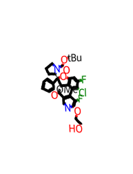 COC(=O)c1cnc(OCCO)c(F)c1-c1c(Cl)c(F)cc2c1C[C@](c1ccccc1)(C1CCCN1C(=O)OC(C)(C)C)O2